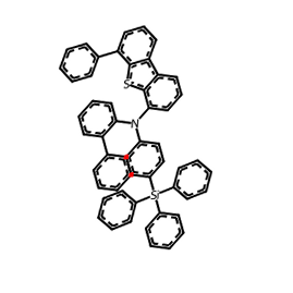 c1ccc(-c2ccccc2N(c2ccc([Si](c3ccccc3)(c3ccccc3)c3ccccc3)cc2)c2cccc3c2sc2c(-c4ccccc4)cccc23)cc1